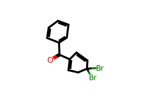 O=C(C1=CCC(Br)(Br)C=C1)c1ccccc1